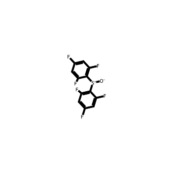 [O-][S+](c1c(F)cc(F)cc1F)c1c(F)cc(F)cc1F